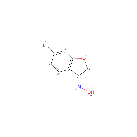 O/N=C1\COc2cc(Br)ccc21